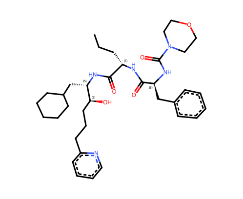 CCC[C@H](NC(=O)[C@H](Cc1ccccc1)NC(=O)N1CCOCC1)C(=O)N[C@@H](CC1CCCCC1)[C@@H](O)CCCc1ccccn1